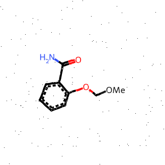 COCOc1ccccc1C(N)=O